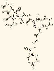 CN1CCN(C(=O)CCCCCOc2ccccc2N(C)C(=O)c2ccc(NC(=O)c3ccccc3-c3ccccc3)cc2)CC1